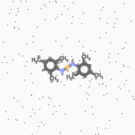 Cc1cc(C)c(N=[P]=Nc2c(C)cc(C)cc2C)c(C)c1